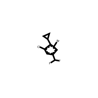 FC(F)c1cc(Cl)c(C2CC2)c(Br)c1